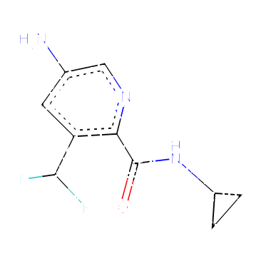 Nc1cnc(C(=O)NC2CC2)c(C(F)F)c1